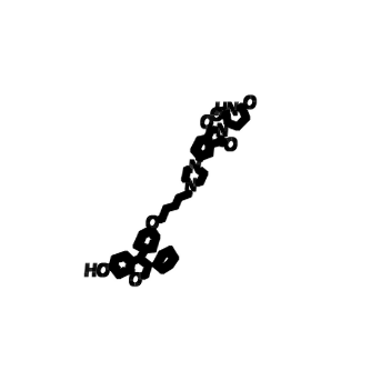 O=C1CCC(N2C(=O)c3ccc(N4CCN(CCCCCOc5ccc(C6c7ccc(O)cc7OC[C@@H]6c6ccccc6)cc5)CC4)cc3C2=O)C(=O)N1